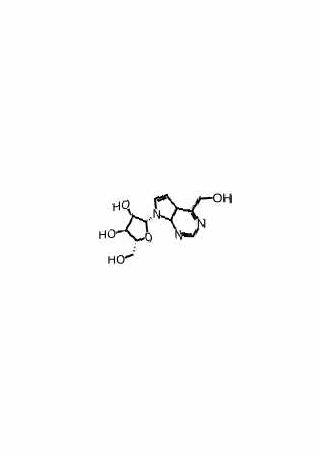 OCC1=NC=NC2C1C=CN2[C@@H]1O[C@H](CO)[C@@H](O)[C@H]1O